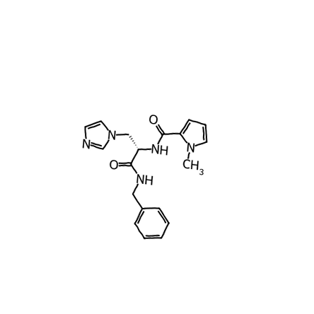 Cn1cccc1C(=O)N[C@@H](Cn1ccnc1)C(=O)NCc1ccccc1